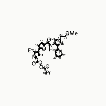 CCc1nn(C(=O)OOC(=O)C(C)C)cc1-c1ccc(C(=O)Nc2cn(CCOC)nc2-c2ccccn2)o1